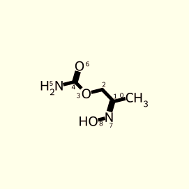 CC(COC(N)=O)=NO